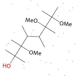 COC(C)(C)C(C)(OC)C(C)C(C)C(C)(OC)C(C)(C)O